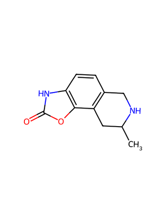 CC1Cc2c(ccc3[nH]c(=O)oc23)CN1